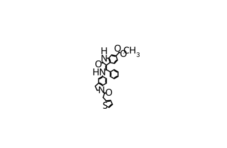 COC(=O)c1ccc2c(c1)NC(=O)/C2=C(\Nc1ccc2c(c1)CCN2C(=O)Cc1cccs1)c1ccccc1